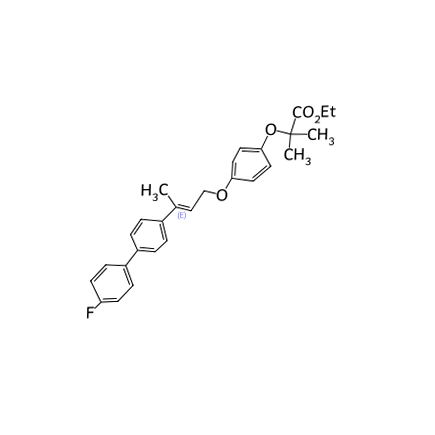 CCOC(=O)C(C)(C)Oc1ccc(OC/C=C(\C)c2ccc(-c3ccc(F)cc3)cc2)cc1